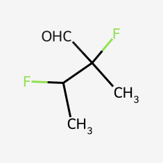 CC(F)C(C)(F)C=O